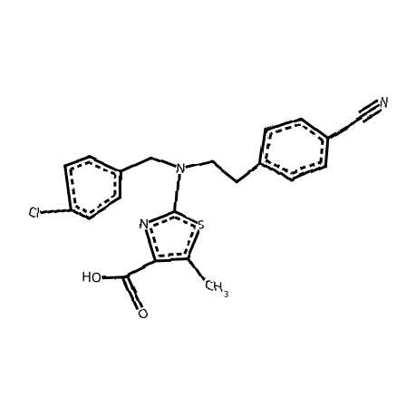 Cc1sc(N(CCc2ccc(C#N)cc2)Cc2ccc(Cl)cc2)nc1C(=O)O